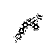 Cc1nc2ccc(-c3ccc(N4CCN(C)CC4)cc3)cc2c(=O)n1C(C(=O)Nc1nccs1)c1ccccc1